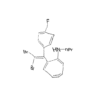 CCCNc1ccccc1C(=C(Br)Br)c1ccc(F)cc1